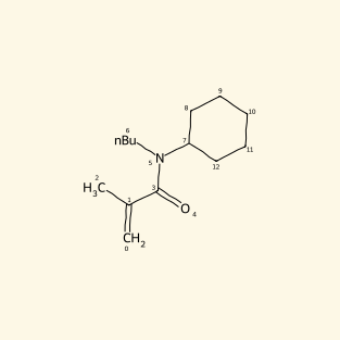 C=C(C)C(=O)N(CCCC)C1CCCCC1